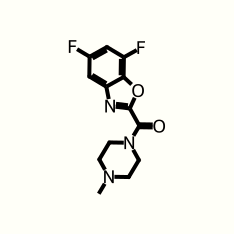 CN1CCN(C(=O)c2nc3cc(F)cc(F)c3o2)CC1